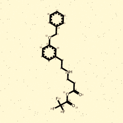 O=C(CCNCCc1cccc(OCc2ccccc2)c1)OC(=O)C(F)(F)F